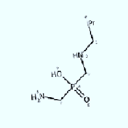 CC(C)CNCP(=O)(O)CN